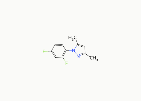 Cc1cc(C)n(-c2ccc(F)cc2F)n1